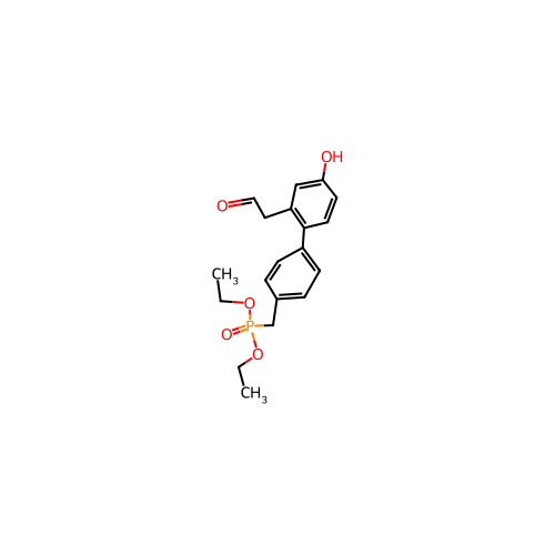 CCOP(=O)(Cc1ccc(-c2ccc(O)cc2CC=O)cc1)OCC